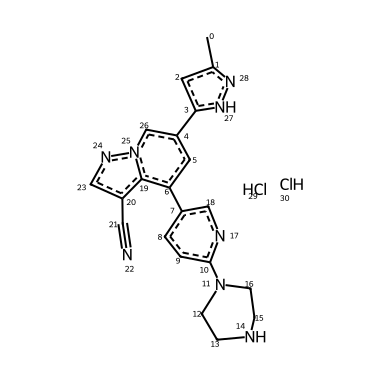 Cc1cc(-c2cc(-c3ccc(N4CCNCC4)nc3)c3c(C#N)cnn3c2)[nH]n1.Cl.Cl